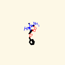 CN(NC(=O)COCc1ccccc1)C(N)=O